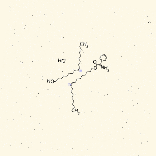 CCCCCCCC/C=C\CCCCCCCCO.CCCCCCCC/C=C\CCCCCCCCOC(=O)[C@@H](N)c1ccccc1.Cl